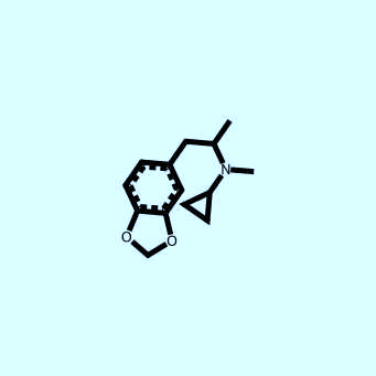 CC(Cc1ccc2c(c1)OCO2)N(C)C1CC1